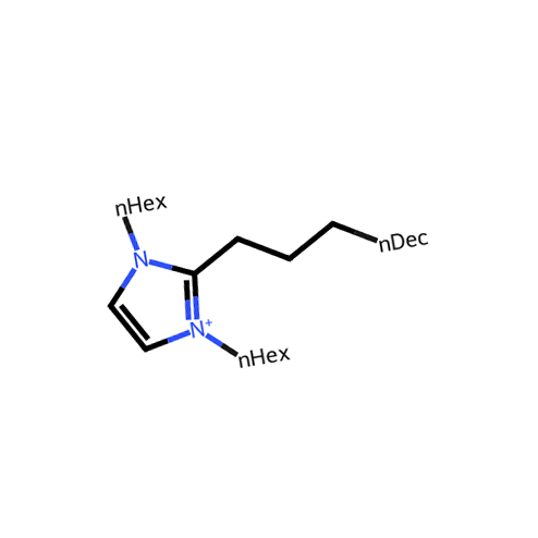 CCCCCCCCCCCCCc1n(CCCCCC)cc[n+]1CCCCCC